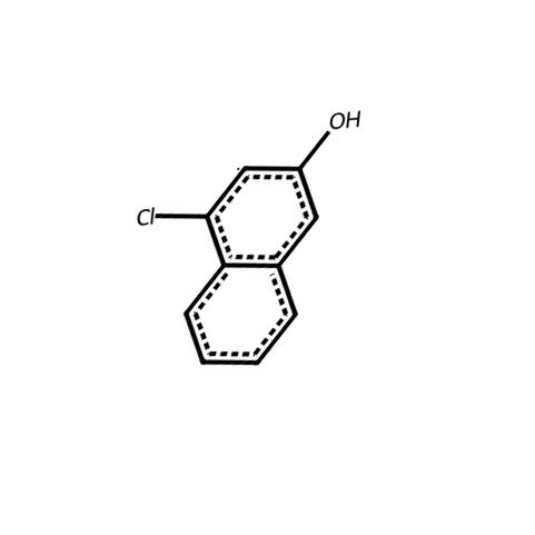 Oc1[c]c(Cl)c2ccccc2c1